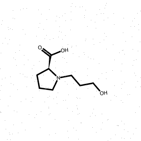 O=C(O)[C@@H]1CCCN1CCCO